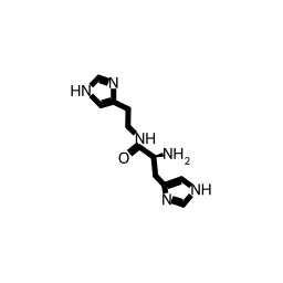 N[C@@H](Cc1c[nH]cn1)C(=O)NCCc1c[nH]cn1